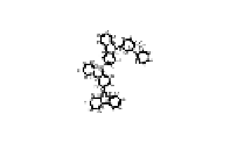 c1cnc2c(c1)sc1ccc(-n3c4ccccc4c4cc(-n5c6ccccc6c6cc(-n7c8ccccc8c8ccccc87)ccc65)ccc43)cc12